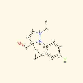 CCN1C=CC(C=O)(C2CC2)N1c1ccc(F)cc1